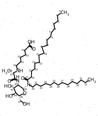 CCCCCCCCCCCCCCCCCC(=O)N(CCCCCCCCCCCCCC)[C@@H]1O[C@H](CO)[C@@H](O)[C@H](O)[C@@H]1NC(=O)[C@H](C)NCCCCCC(=O)O